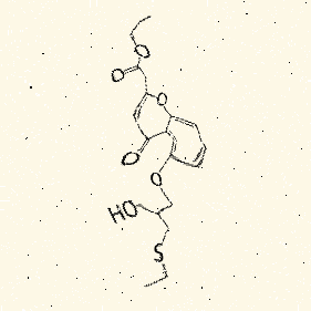 CCOC(=O)c1cc(=O)c2c(OCC(O)CSCC)cccc2o1